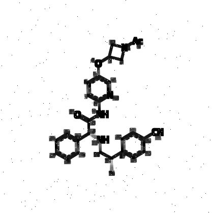 CC(=O)N1CC(Oc2ccc(NC(=O)[C@H](NC[C@@H](C)c3ccc(C#N)cc3)c3ccccc3)nc2)C1